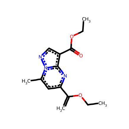 C=C(OCC)c1cc(C)n2ncc(C(=O)OCC)c2n1